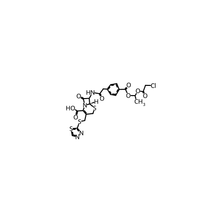 CC(OC(=O)CCl)OC(=O)c1ccc(CC(=O)NC2C(=O)N3C(C(=O)O)=C(CSc4nncs4)CS[C@@H]23)cc1